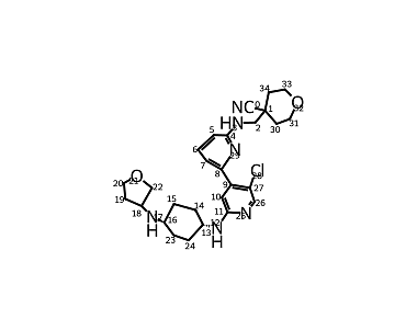 N#CC1(CNc2cccc(-c3cc(N[C@H]4CC[C@H](NC5CCOC5)CC4)ncc3Cl)n2)CCOCC1